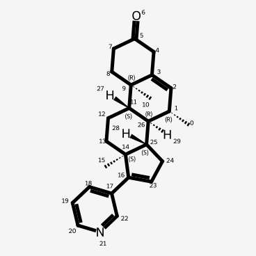 C[C@H]1C=C2CC(=O)CC[C@]2(C)[C@H]2CC[C@]3(C)C(c4cccnc4)=CC[C@H]3[C@H]12